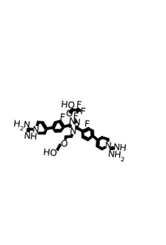 N=C(N)N1CC=C(c2ccc(-c3nnc(-c4ccc(C5=CCN(C(=N)N)CC5)cc4F)n3CCOCCO)c(F)c2)CC1.O=C(O)C(F)(F)F